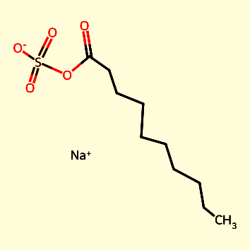 CCCCCCCCCC(=O)OS(=O)(=O)[O-].[Na+]